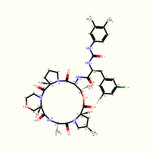 Cc1ccc(NC(=O)N[C@@H](Cc2cc(F)cc(F)c2)C(=O)N[C@@H]2C(=O)N3CCC[C@H]3C(=O)N3CCOC[C@H]3C(=O)N[C@@H](C)C(=O)N3C[C@H](C)C[C@H]3C(=O)O[C@H]2C)cc1C